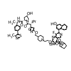 Cc1ncsc1-c1ccc([C@H](C)NC(=O)[C@@H]2C[C@@H](O)CN2C(=O)[C@@H](c2cc(OCC3CCN(CCOc4nc(N5CC6CCC(C5)N6C(=O)OC(C)(C)C)c5cnc(-c6cc(O)cc7ccccc67)c(F)c5n4)CC3)no2)C(C)C)cc1